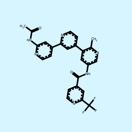 CC(=O)Nc1cc(-c2cc(-c3cc(NC(=O)c4ccnc(C(F)(F)F)c4)cnc3C)ccn2)ccn1